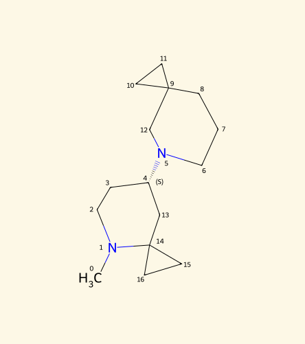 CN1CC[C@H](N2CCCC3(CC3)C2)CC12CC2